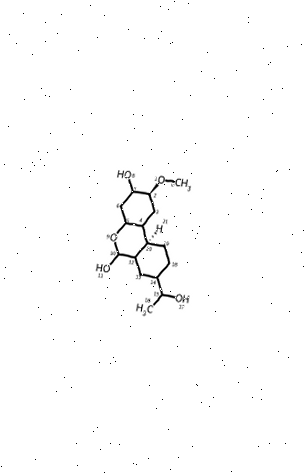 CO[C@H]1CC2C(CC1O)OC(O)C1CC(C(C)O)CC[C@@H]12